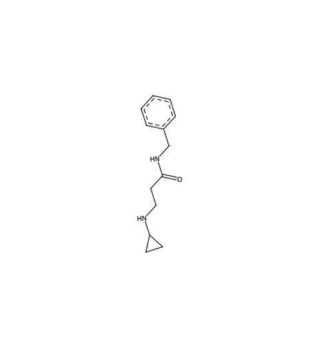 O=C(CCNC1CC1)N[CH]c1ccccc1